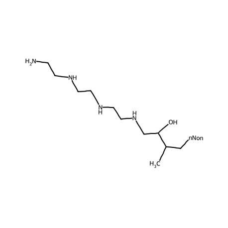 CCCCCCCCCCC(C)C(O)CNCCNCCNCCN